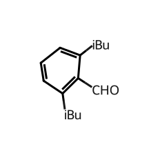 CCC(C)c1cccc(C(C)CC)c1C=O